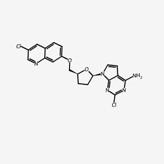 Nc1nc(Cl)nc2c1ccn2[C@H]1CC[C@@H](COc2ccc3cc(Cl)cnc3c2)O1